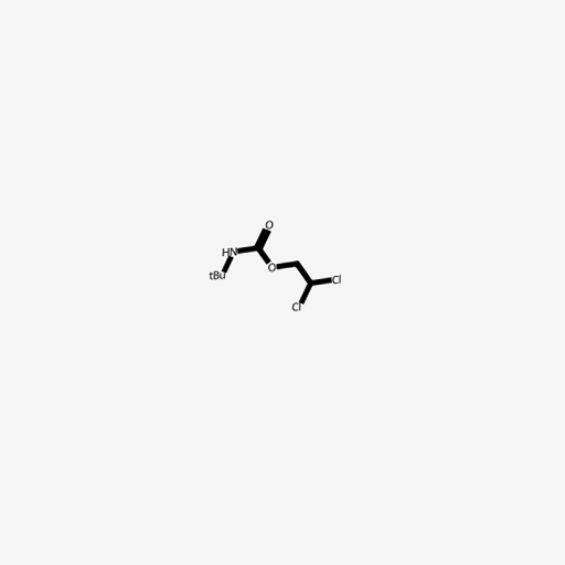 CC(C)(C)NC(=O)OCC(Cl)Cl